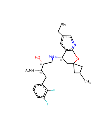 CC(=O)N[C@@H](Cc1cccc(F)c1F)[C@H](O)CN[C@H]1CC2(CC(C)C2)Oc2ncc(CC(C)(C)C)cc21